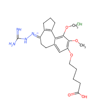 COc1c(OCCCCC(=O)O)cc2c(c1OC)C1=C(CCC1)/C(=N/NC(=N)N)CC2.Cl